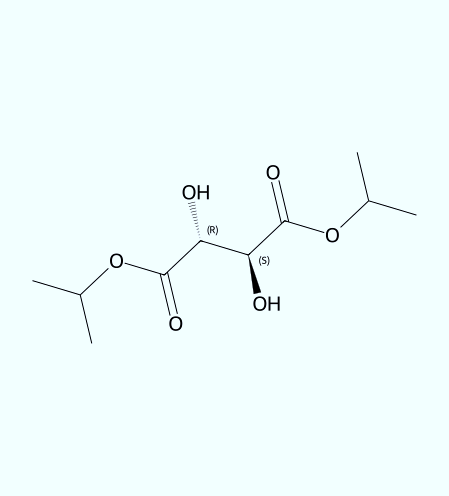 CC(C)OC(=O)[C@@H](O)[C@@H](O)C(=O)OC(C)C